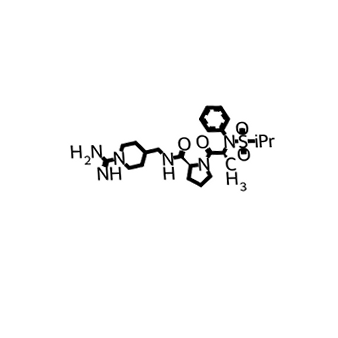 CC(C)S(=O)(=O)N(c1ccccc1)[C@@H](C)C(=O)N1CCC[C@H]1C(=O)NCC1CCN(C(=N)N)CC1